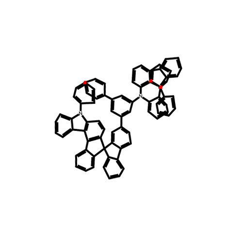 c1ccc(-c2cc(-c3ccc4c(c3)C3(c5ccccc5-4)c4ccccc4-c4c3ccc3c4c4ccccc4n3-c3ccccc3)cc(N(c3ccccc3-c3ccccc3)c3cccc4c5ccccc5n(-c5ccccc5)c34)c2)cc1